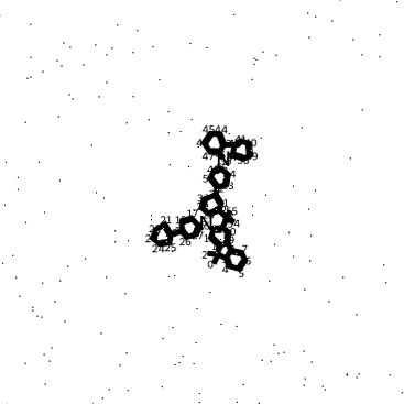 CC1(C)c2ccccc2-c2cc3c(cc21)N(c1ccc(-c2ccccc2)cc1)c1ccc(-c2ccc(-n4c5ccccc5c5ccccc54)cc2)cc1C3(C)C